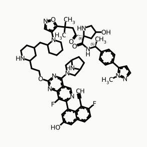 C#Cc1c(F)ccc2cc(O)cc(-c3ncc4c(N5CC6CCC(C5)N6)nc(OCCC5CC(CC6CCCCN6c6cnoc6C(C)(C)CC(=O)[C@@]6(C(=O)N[C@@H](C)c7ccc(-c8ccnn8C)cc7)CC(O)CN6)CCN5)nc4c3F)c12